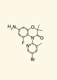 Cc1cc(Br)cnc1N1C(=O)C(C)(C)Oc2cc(N)cc(F)c21